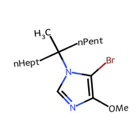 CCCCCCCC(C)(CCCCC)n1cnc(OC)c1Br